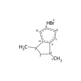 Br.CC1CC(C)c2ccccc21